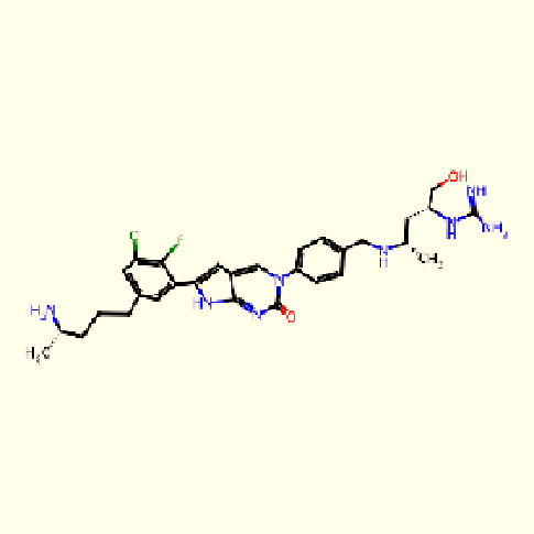 C[C@H](N)CCCc1cc(Cl)c(F)c(-c2cc3cn(-c4ccc(CN[C@@H](C)C[C@H](CO)NC(=N)N)cc4)c(=O)nc3[nH]2)c1